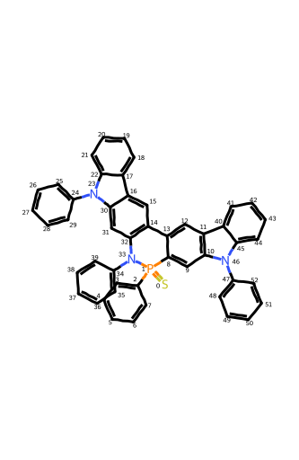 S=P1(c2ccccc2)c2cc3c(cc2-c2cc4c5ccccc5n(-c5ccccc5)c4cc2N1c1ccccc1)c1ccccc1n3-c1ccccc1